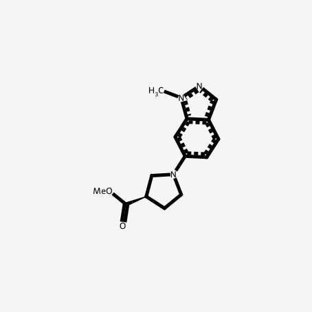 COC(=O)[C@@H]1CCN(c2ccc3cnn(C)c3c2)C1